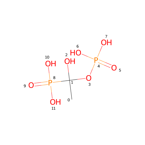 CC(O)(OP(=O)(O)O)P(=O)(O)O